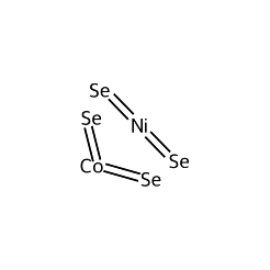 [Se]=[Co]=[Se].[Se]=[Ni]=[Se]